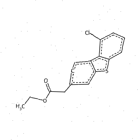 CCOC(=O)Cc1ccc2c(c1)sc1cccc(Cl)c12